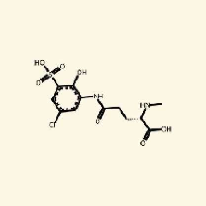 CN[C@@H](CCC(=O)Nc1cc(Cl)cc(S(=O)(=O)O)c1O)C(=O)O